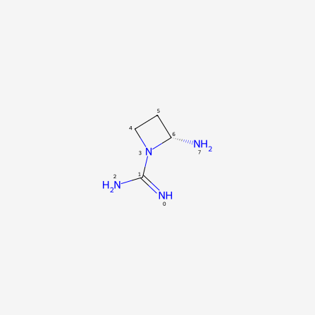 N=C(N)N1CC[C@@H]1N